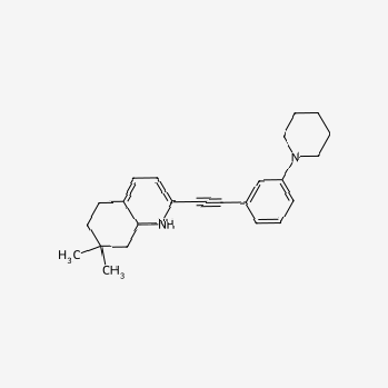 CC1(C)CCC2=CC=C(C#Cc3cccc(N4CCCCC4)c3)NC2C1